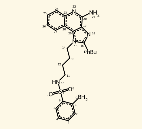 Bc1ccccc1S(=O)(=O)NCCCCn1c(CCCC)nc2c(N)nc3ccccc3c21